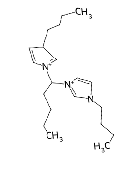 CCCCC1C=C[N+](C(CCCC)[n+]2ccn(CCCC)c2)=C1